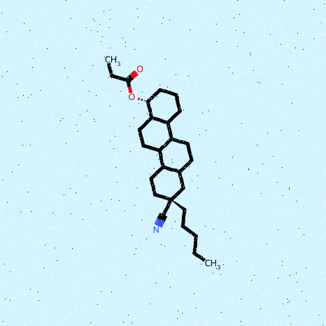 CCCCC[C@@]1(C#N)CCC2C(CCC3C2CCC2C3CCC[C@H]2OC(=O)CC)C1